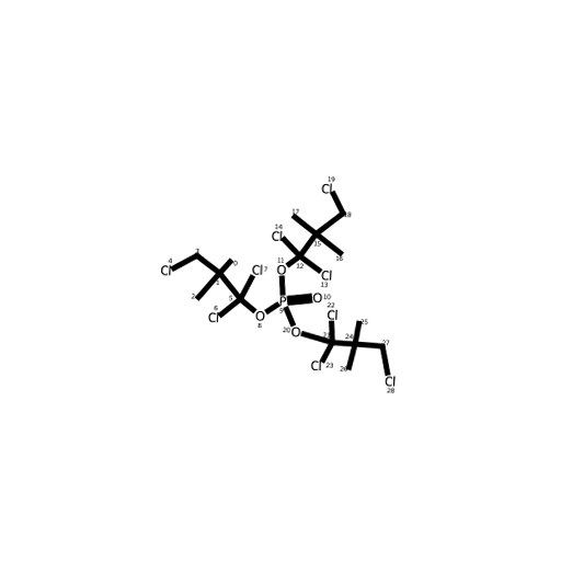 CC(C)(CCl)C(Cl)(Cl)OP(=O)(OC(Cl)(Cl)C(C)(C)CCl)OC(Cl)(Cl)C(C)(C)CCl